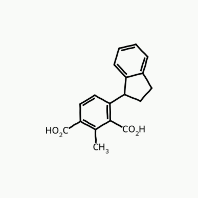 Cc1c(C(=O)O)ccc(C2CCc3ccccc32)c1C(=O)O